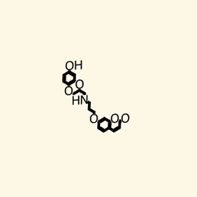 O=c1ccc2ccc(OCCCNCC3COc4ccc(O)cc4O3)cc2o1